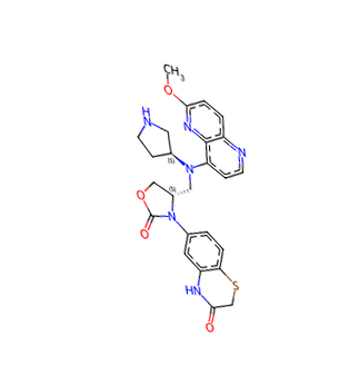 COc1ccc2nccc(N(C[C@H]3COC(=O)N3c3ccc4c(c3)NC(=O)CS4)[C@H]3CCNC3)c2n1